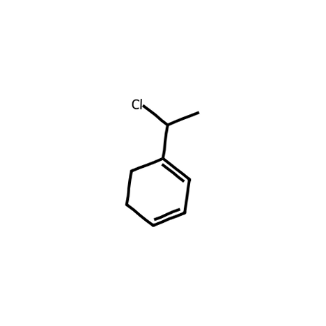 CC(Cl)C1=CC=CCC1